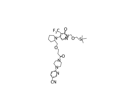 C[Si](C)(C)CCOCn1ncc(N2CCCCC2COCCC(=O)N2CCN(c3ccc(C#N)cn3)CC2)c(C(F)(F)F)c1=O